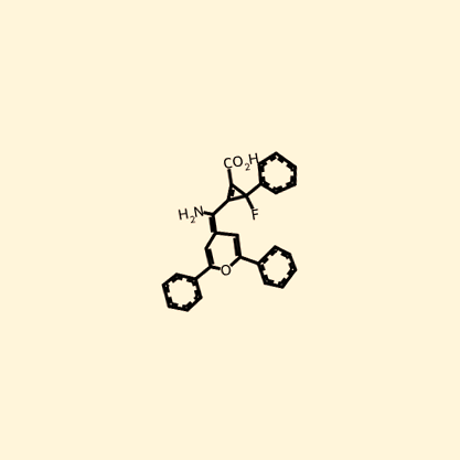 NC(=C1C=C(c2ccccc2)OC(c2ccccc2)=C1)C1=C(C(=O)O)C1(F)c1ccccc1